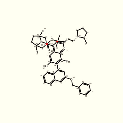 CN1CCC[C@H]1COc1nc(N2C[C@H]3CC[C@@H](C2)N3C(=O)OC(C)(C)C)c2cc(O)c(-c3cc(OCc4ccccc4)cc4ccccc34)c(F)c2n1